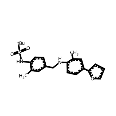 Cc1cc(-c2ccco2)ccc1NCc1ccc(NS(=O)(=O)C(C)(C)C)c(C)c1